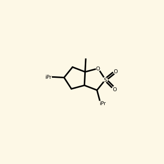 CC(C)C1CC2C(C(C)C)S(=O)(=O)OC2(C)C1